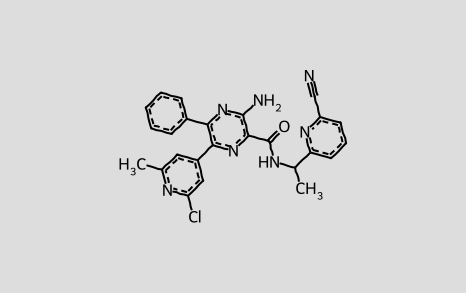 Cc1cc(-c2nc(C(=O)NC(C)c3cccc(C#N)n3)c(N)nc2-c2ccccc2)cc(Cl)n1